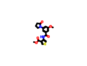 COC(=O)c1cscc1NC(=O)c1cc(OC)cc(N2CCCC2=O)c1